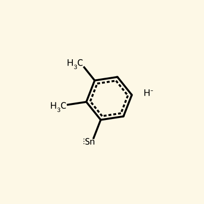 Cc1ccc[c]([Sn])c1C.[H-]